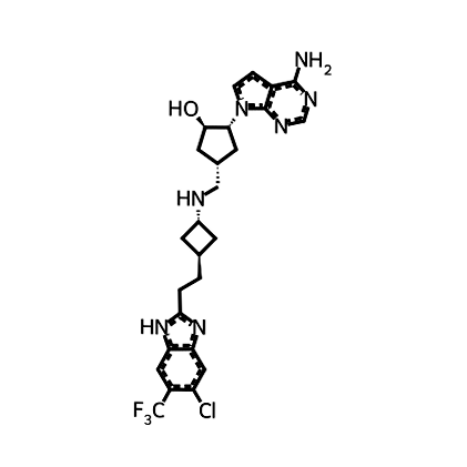 Nc1ncnc2c1ccn2[C@@H]1C[C@H](CN[C@H]2C[C@H](CCc3nc4cc(Cl)c(C(F)(F)F)cc4[nH]3)C2)C[C@H]1O